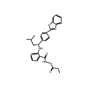 CCC(=O)ONC(=O)c1ccccc1N[C@@H](CC(C)C)c1ccc(-c2nc3ccccc3o2)cc1